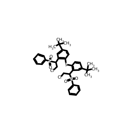 CC(C)(C)c1ccc(Sc2ccc(C(C)(C)C)cc2C(CCl)S(=O)(=O)c2ccccc2)c(C(CCl)S(=O)(=O)c2ccccc2)c1